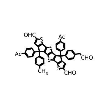 CC(=O)c1ccc(C2(c3ccc(C)cc3)c3cc(C=O)sc3-c3sc4c5c(sc4c32)-c2sc(C=O)cc2C5(c2ccc(CC=O)cc2)c2ccc(C(C)=O)cc2)cc1